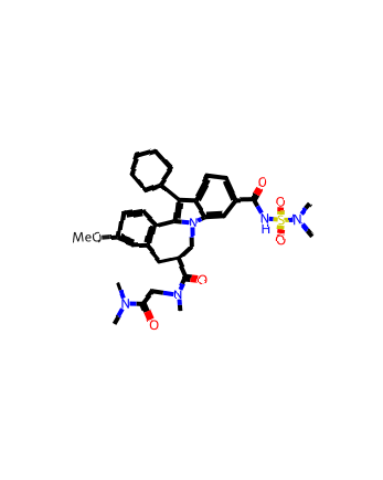 COc1ccc2c(c1)CC(C(=O)N(C)CC(=O)N(C)C)Cn1c-2c(C2CCCCC2)c2ccc(C(=O)NS(=O)(=O)N(C)C)cc21